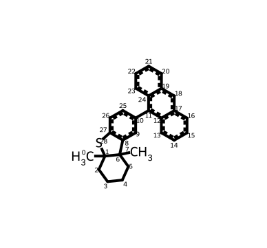 CC12CCCCC1(C)c1cc(-c3c4ccccc4cc4ccccc34)ccc1S2